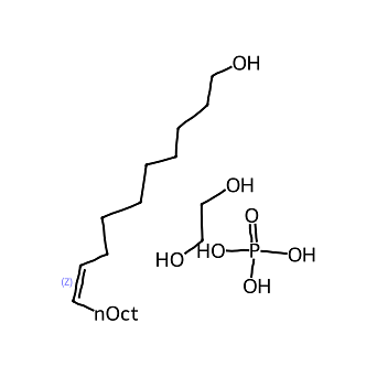 CCCCCCCC/C=C\CCCCCCCCO.O=P(O)(O)O.OCCO